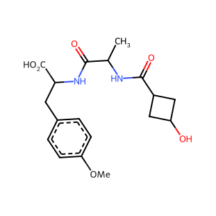 COc1ccc(CC(NC(=O)C(C)NC(=O)C2CC(O)C2)C(=O)O)cc1